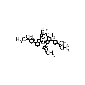 CCc1ccc(C2=Cc3c(-c4ccc(C(C)CC)cc4)cccc3[CH]2[Zr+2][CH]2C(c3ccc(CC)s3)=Cc3c(-c4ccc(C(C)CC)cc4)cccc32)s1.[Cl-].[Cl-]